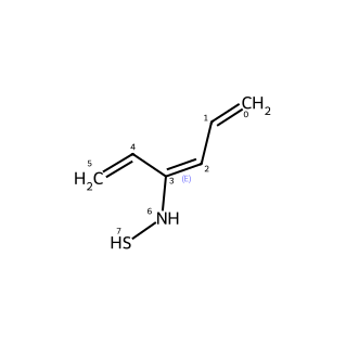 C=C/C=C(\C=C)NS